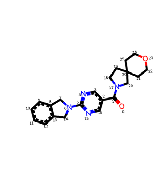 O=C(c1cnc(N2Cc3ccccc3C2)nc1)N1CCC2(CCOCC2)C1